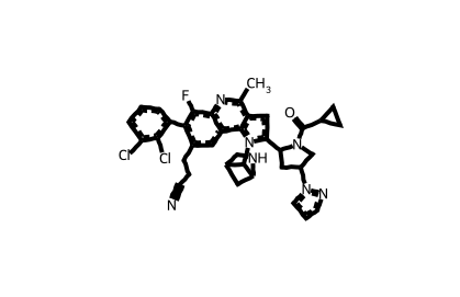 Cc1nc2c(F)c(-c3cccc(Cl)c3Cl)c(CCC#N)cc2c2c1cc(C1CC(n3cccn3)CN1C(=O)C1CC1)n2C1C2CNC1C2